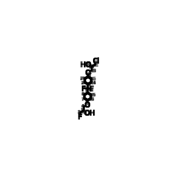 O[C@H](CF)COc1ccc(C(F)(F)c2ccc(OC[C@H](O)CCl)cc2)cc1